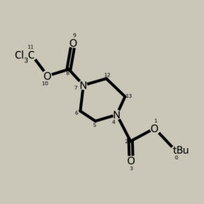 CC(C)(C)OC(=O)N1CCN(C(=O)OC(Cl)(Cl)Cl)CC1